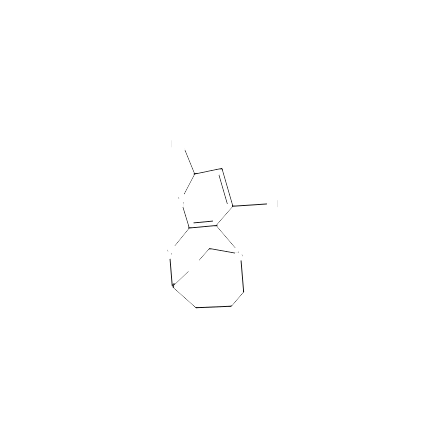 CC1=CC(C)NC2=C1N1CCCC(CC1)N2